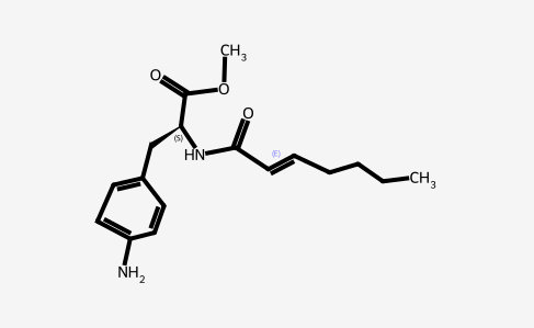 CCCC/C=C/C(=O)N[C@@H](Cc1ccc(N)cc1)C(=O)OC